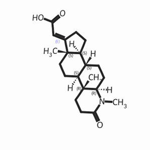 CN1C(=O)CC[C@]2(C)[C@H]3CC[C@]4(C)/C(=C/C(=O)O)CC[C@H]4[C@@H]3CC[C@@H]12